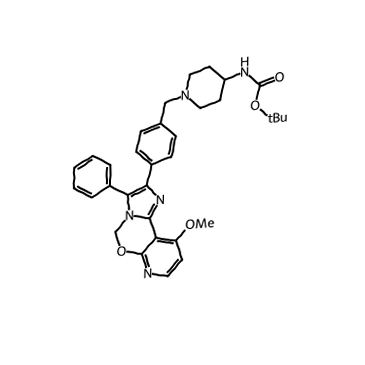 COc1ccnc2c1-c1nc(-c3ccc(CN4CCC(NC(=O)OC(C)(C)C)CC4)cc3)c(-c3ccccc3)n1CO2